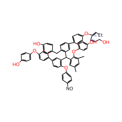 CC/C=C(\C=C/CO)Oc1ccc(-c2ccc(Cc3ccc(O)cc3)c(C(c3cc(-c4ccc(Oc5ccc(O)cc5)cc4)ccc3Oc3ccc(N=O)cc3)c3cc(C)cc(C)c3Oc3ccc(O)cc3)c2)cc1